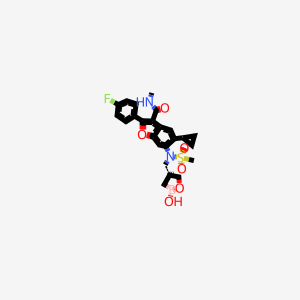 CNC(=O)c1c(-c2ccc(F)cc2)oc2cc(N(C[C@@H]3COB(O)C3)S(C)(=O)=O)c(C3CC3)cc12